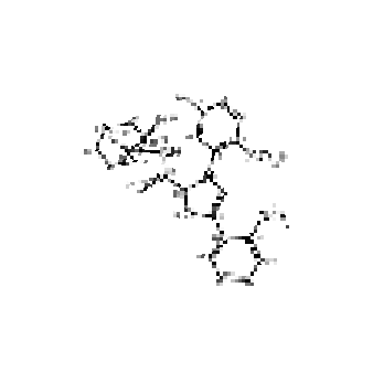 Cc1ccc(S(=O)(=O)O)c(N2C=C(c3ccccc3[N+](=O)[O-])OC2C(=O)N[C@H]2CN3CCC2CC3)c1